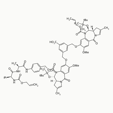 C=CCOC(=O)N[C@H](C(=O)N[C@@H](C)C(=O)Nc1ccc(COC(=O)N2c3cc(OCc4cc(COc5cc6c(cc5OC)C(=O)N5C=C(C)C[C@H]5[C@H](O[Si](C)(C)C(C)(C)C)N6C(=O)OCC=C)cc(C(=O)O)c4)c(OC)cc3C(=O)N3C=C(C)C[C@H]3[C@@H]2O[Si](C)(C)C(C)(C)C)cc1)C(C)C